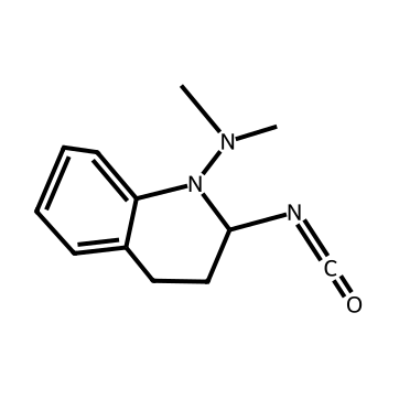 CN(C)N1c2ccccc2CCC1N=C=O